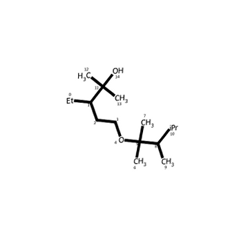 CCC(CCOC(C)(C)C(C)C(C)C)C(C)(C)O